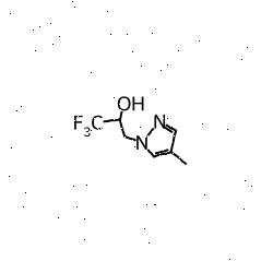 Cc1cnn(CC(O)C(F)(F)F)c1